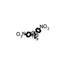 O=[N+]([O-])c1ccc(N(C=S)S(=O)(=O)c2ccc([N+](=O)[O-])cc2)cc1